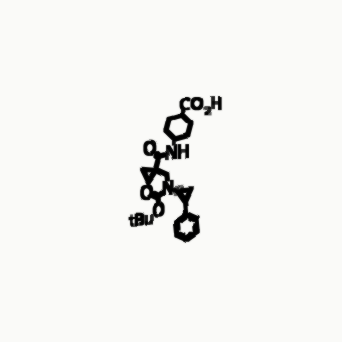 CC(C)(C)OC(=O)N(CC1(C(=O)N[C@H]2CC[C@H](C(=O)O)CC2)CC1)[C@H]1CC1c1ccccc1